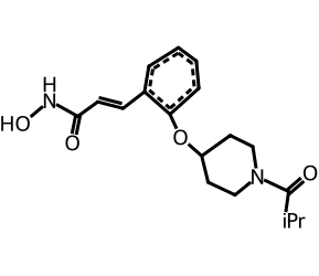 CC(C)C(=O)N1CCC(Oc2ccccc2C=CC(=O)NO)CC1